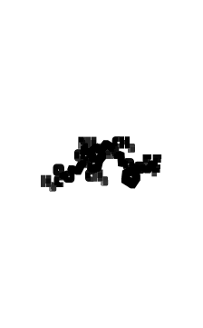 CC(=O)OCCCn1c(C)cc2cc(C[C@@H](C)NCCOc3ccccc3OCC(F)(F)F)cc(C(N)=O)c21